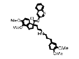 COc1ccc(CCCNCCCC2(C(=O)Oc3cnc4ccccc4c3)CCc3c2ccc(OC)c3OC)cc1OC